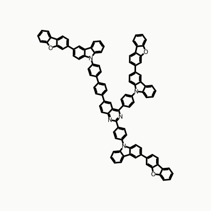 c1ccc2c(c1)oc1cc(-c3ccc4c(c3)c3ccccc3n4-c3ccc(-c4ccc(-c5ccc6nc(-c7ccc(-n8c9ccccc9c9cc(-c%10ccc%11c(c%10)oc%10ccccc%10%11)ccc98)cc7)nc(-c7ccc(-n8c9ccccc9c9cc(-c%10ccc%11c(c%10)oc%10ccccc%10%11)ccc98)cc7)c6c5)cc4)cc3)ccc12